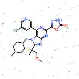 COCC(C)(F)c1nc2nc(-c3n[nH]c(=O)o3)nc(-c3cncc(Cl)c3)c2n1CC1CCC(C)CC1